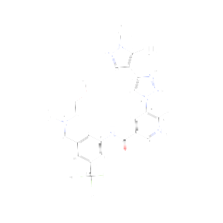 COCCN(C)Cc1cc(NC(=O)c2cnc(C)c(-n3cc(-c4cnn(C)c4C)nn3)c2)cc(C(F)(F)F)c1